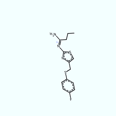 CCC/C(N)=N\c1nc(CSc2ccc(F)cc2)cs1